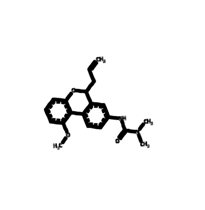 C=CCC1Oc2cccc(OC)c2-c2ccc(NC(=O)N(C)C)cc21